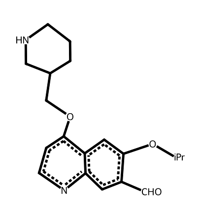 CC(C)Oc1cc2c(OCC3CCCNC3)ccnc2cc1C=O